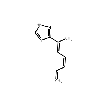 C=C/C=C\C=C(/C)C1=NBC=N1